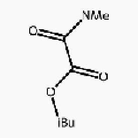 CCC(C)OC(=O)C(=O)NC